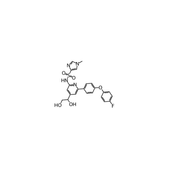 Cn1cnc(S(=O)(=O)Nc2cc(C(O)CO)cc(-c3ccc(Oc4ccc(F)cc4)cc3)n2)c1